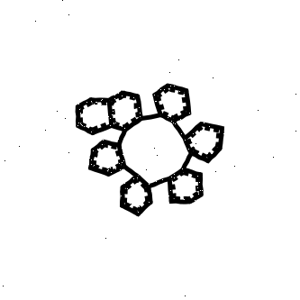 c1ccc2c(c1)-c1ccccc1-c1ccccc1-c1ccc3ccccc3c1-c1ccccc1-c1ccccc1-2